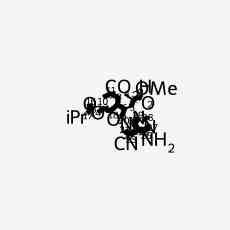 COC(=O)[C@H](C)C[C@@H]1C(CC(C)C(=O)O)C(COC(=O)C(C)C)OC1n1cc(C#N)c2c(N)ncnc21